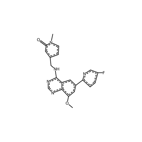 COc1cc(-c2ccc(F)cn2)cc2c(NCc3ccn(C)c(=O)c3)ncnc12